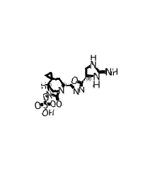 N=C1NC[C@H](c2nnc([C@@H]3CC4(CC4)[C@@H]4CN3C(=O)N4OS(=O)(=O)O)o2)N1